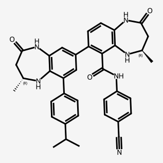 CC(C)c1ccc(-c2cc(-c3ccc4c(c3C(=O)Nc3ccc(C#N)cc3)N[C@H](C)CC(=O)N4)cc3c2N[C@H](C)CC(=O)N3)cc1